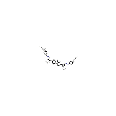 CCCCC1(CCCC)c2cc(-c3sc(/C=C/c4ccc(N(CC)CCO)cc4)c4c3OCCO4)ccc2-c2ccc(-c3sc(/C=C/c4ccc(N(CC)CCO)cc4)c4c3OCCO4)cc21